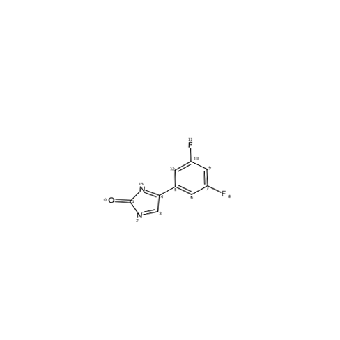 O=C1N=CC(c2cc(F)cc(F)c2)=N1